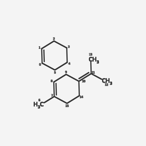 C1=CCCCC1.CC1=CCC(=C(C)C)CC1